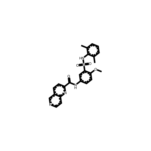 COc1ccc(NC(=O)c2ccc3cnccc3n2)cc1S(=O)(=O)Nc1c(C)cccc1C